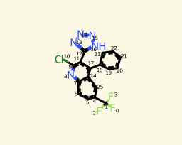 FC(F)(F)c1ccc2nc(Cl)c(-c3nnn[nH]3)c(-c3ccccc3)c2c1